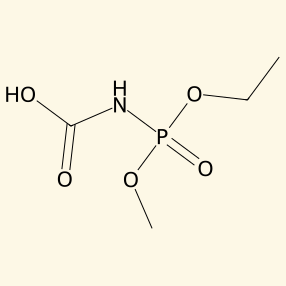 CCOP(=O)(NC(=O)O)OC